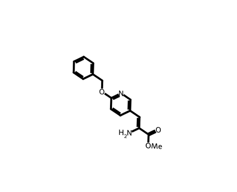 COC(=O)C(N)=Cc1ccc(OCc2ccccc2)nc1